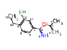 C=C(C)OC(=N)c1ccc(CC)c(F)c1